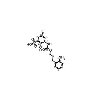 Nc1ccccc1CCCOC(=O)Nc1cc(Cl)cc(S(=O)(=O)O)c1O